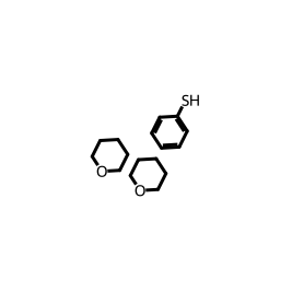 C1CCOCC1.C1CCOCC1.Sc1ccccc1